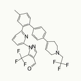 Cc1ccc(-c2ccc(C3=CCN(CC(F)(F)F)CC3)cc2)c(-c2cccc(-n3ncc(C=O)c3C(F)(F)F)n2)c1